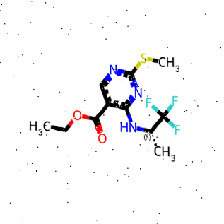 CCOC(=O)c1cnc(SC)nc1N[C@@H](C)C(F)(F)F